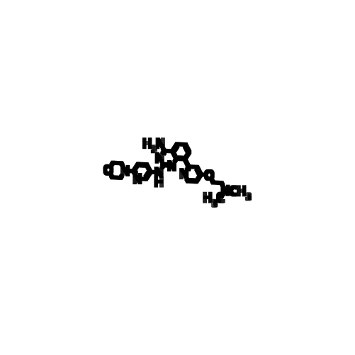 CN(C)CCOc1ccnc(-c2cccc3c(N)nc(Nc4ccc(N5CCOCC5)nc4)nc23)c1